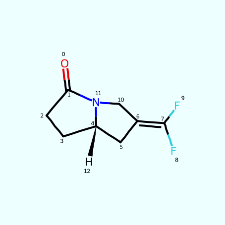 O=C1CC[C@H]2CC(=C(F)F)CN12